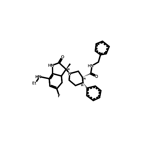 CCNC1=C2NC(=O)[C@](C)(N3CC[C@@H](c4ccccc4)[C@@H](C(=O)NCc4ccccc4)C3)C2CC(F)=C1